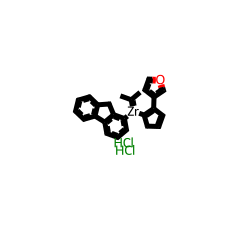 C[C](C)=[Zr]([C]1=C(c2ccoc2)C=CC1)[c]1cccc2c1Cc1ccccc1-2.Cl.Cl